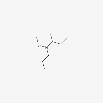 CCCN(SC)C(C)CC